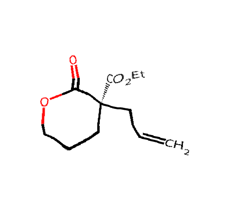 C=CC[C@@]1(C(=O)OCC)CCCOC1=O